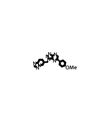 COc1ccc(-c2cnc3nnn(Cc4ccc5ncnn5c4)c3n2)cc1